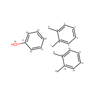 Cc1ccccc1C.Cc1ccccc1C.Oc1ccccc1